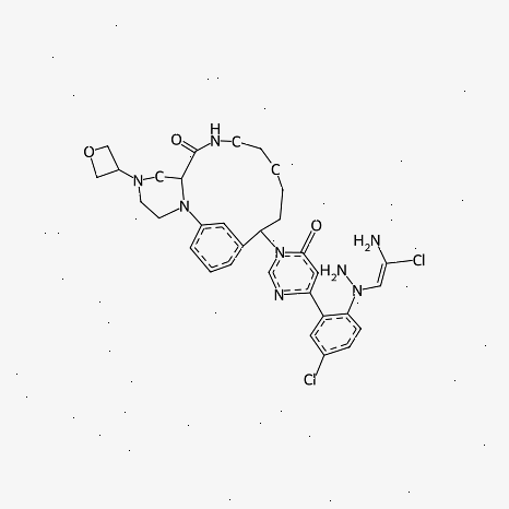 N/C(Cl)=C\N(N)c1ccc(Cl)cc1-c1cc(=O)n(C2CCCCCNC(=O)C3CN(C4COC4)CCN3c3cccc2c3)cn1